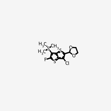 CS(C)(C)c1c(F)sc2c(Cl)c(C3OCCO3)sc12